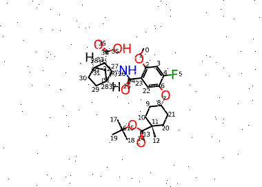 COc1cc(F)c(O[C@H]2CC[C@@](C)(C(=O)OC(C)(C)C)CC2)cc1C(=O)N[C@@H]1[C@H]2CC[C@H](C2)[C@@H]1C(=O)O